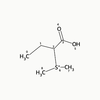 CCC(C(=O)O)[S+](C)C